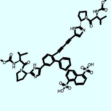 COC(=O)N[C@H](C(=O)N1CCC[C@H]1c1ncc(C#CC#Cc2ccc(-c3cnc([C@@H]4CCCN4C(=O)[C@@H](NC(=O)OC)C(C)C)[nH]3)cc2-c2ccccc2)[nH]1)C(C)C.O=S(=O)(O)c1cccc2c(S(=O)(=O)O)cccc12